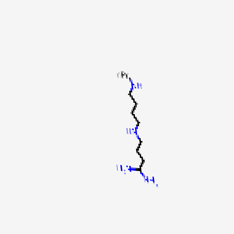 CCCNCCCCNCCCC(N)N